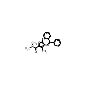 Cc1c(C(=O)N(C)C)sc(Cl)c1N=C(c1ccccc1)c1ccccc1